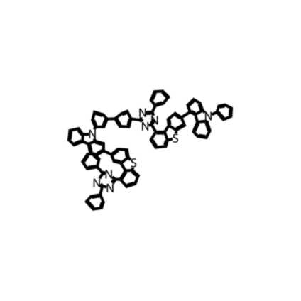 c1ccc(-c2nc(-c3ccc(-c4cccc(-n5c6ccccc6c6ccc(-c7ccc8sc9cccc(-c%10nc(-c%11ccccc%11)nc(-c%11ccccc%11)n%10)c9c8c7)cc65)c4)cc3)nc(-c3cccc4sc5cc(-c6cccc7c6c6ccccc6n7-c6ccccc6)ccc5c34)n2)cc1